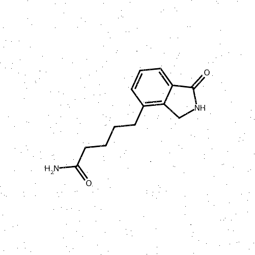 NC(=O)CCCCc1cccc2c1CNC2=O